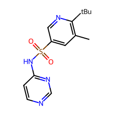 Cc1cc(S(=O)(=O)Nc2ccncn2)cnc1C(C)(C)C